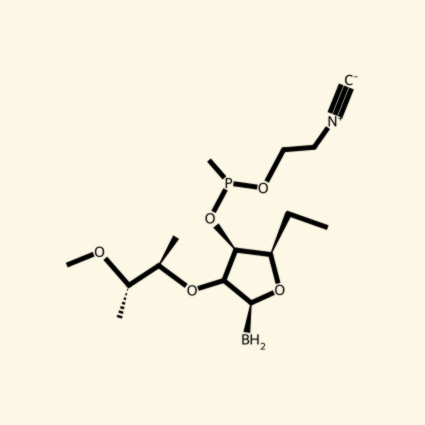 B[C@@H]1O[C@H](CC)[C@H](OP(C)OCC[N+]#[C-])C1O[C@H](C)[C@H](C)OC